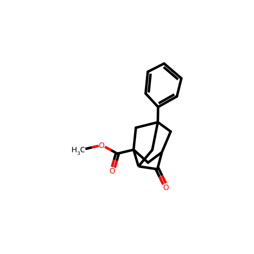 COC(=O)C12CC3CC(c4ccccc4)(CC1C3=O)C2